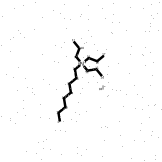 CCCCCCCC[N+](CCC)(CCC)CCC.[I-]